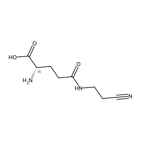 N#CCCNC(=O)CC[C@H](N)C(=O)O